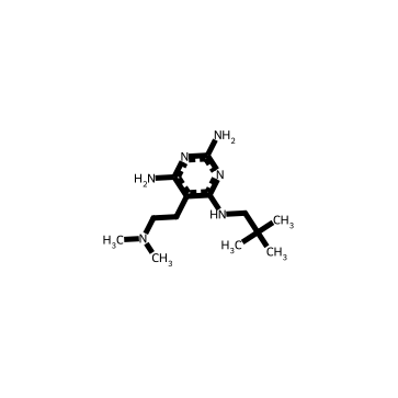 CN(C)CCc1c(N)nc(N)nc1NCC(C)(C)C